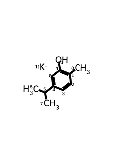 Cc1ccc(C(C)C)cc1O.[K]